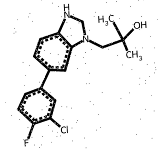 CC(C)(O)CN1CNc2ccc(-c3ccc(F)c(Cl)c3)cc21